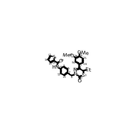 CCC1SC(=O)N(Cc2ccc(NC(=O)c3cccs3)cc2)N=C1c1ccc(OC)c(OC)c1